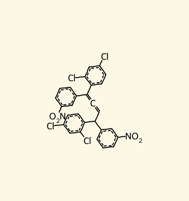 O=[N+]([O-])c1cccc(C(=C=CC(c2cccc([N+](=O)[O-])c2)c2ccc(Cl)cc2Cl)c2ccc(Cl)cc2Cl)c1